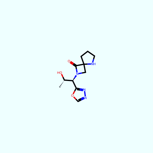 C[C@H](O)[C@H](c1nnco1)N1CC2(CCCN2)C1=O